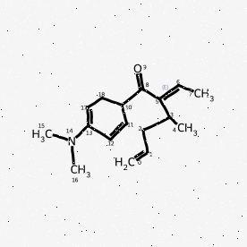 C=CCC(C)/C(=C\C)C(=O)C1C=CC(N(C)C)=CC1